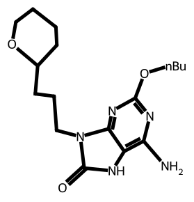 CCCCOc1nc(N)c2[nH]c(=O)n(CCCC3CCCCO3)c2n1